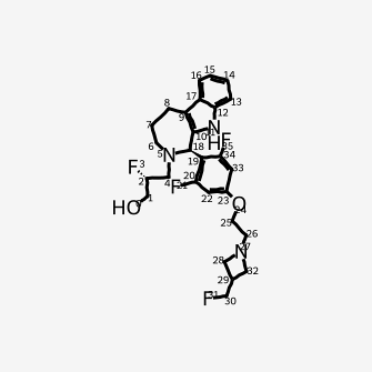 OC[C@H](F)CN1CCCc2c([nH]c3ccccc23)[C@H]1c1c(F)cc(OCCN2CC(CF)C2)cc1F